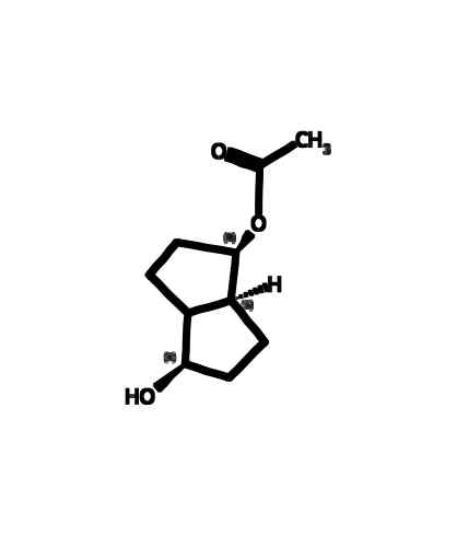 CC(=O)O[C@@H]1CCC2[C@H](O)CC[C@@H]21